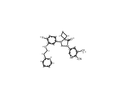 N#Cc1ncc(N2CN(c3ccc(F)c(OCCc4ccccn4)c3)C3(CCC3)C2=O)cc1C(F)(F)F